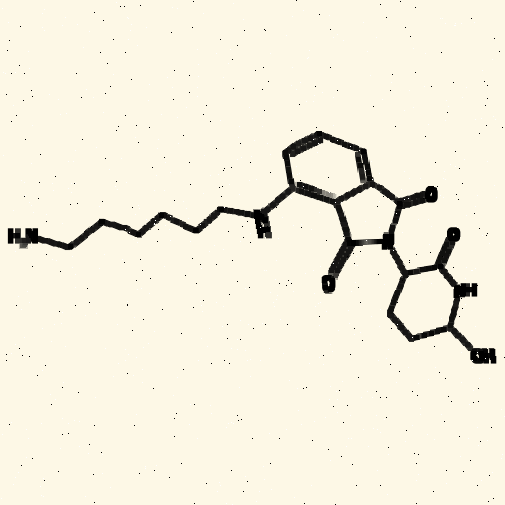 NCCCCCCNc1cccc2c1C(=O)N(C1CCC(O)NC1=O)C2=O